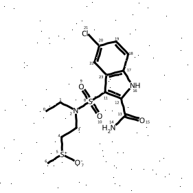 CCN(CC[S+](C)[O-])S(=O)(=O)c1c(C(N)=O)[nH]c2ccc(Cl)cc12